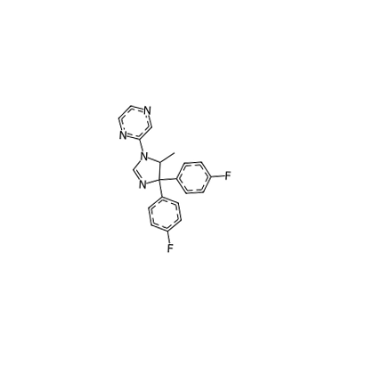 CC1N(c2cnccn2)C=NC1(c1ccc(F)cc1)c1ccc(F)cc1